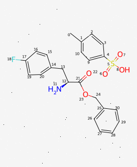 Cc1ccc(S(=O)(=O)O)cc1.N[C@@H](Cc1ccc(F)cc1)C(=O)OCc1ccccc1